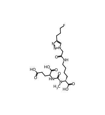 CN(C(=O)NC(CCC(=O)O)C(=O)O)[C@@H](CCCCNC(=O)Cn1cc(CCCF)nn1)C(=O)O